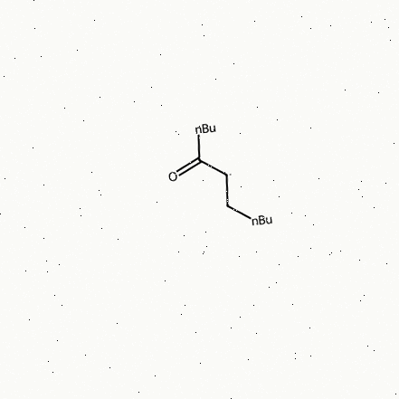 CCCCC[CH]C(=O)CCCC